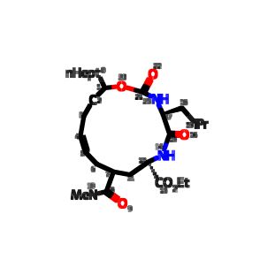 CCCCCCCC1CC/C=C\CC(C(=O)NC)C[C@@H](C(=O)OCC)NC(=O)[C@H](CC(C)C)NC(=O)O1